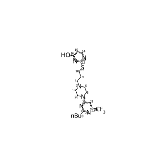 CCCCc1nc(N2CCN(CCCSc3nccc(O)n3)CC2)cc(C(F)(F)F)n1